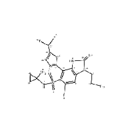 CC1(NS(=O)(=O)c2c(F)cc3c([nH]c(=O)n3CCF)c2-c2nnc(C(F)F)o2)CC1